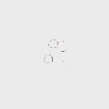 CC(C)Oc1cccc(OC(C)C)c1-c1ccccc1P(C1CCCCC1)C1CCCCC1.[N]